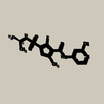 C[C@@H](NS(=O)(=O)c1cn(C)c(C(=O)Nc2ccnc(C#N)c2)c1F)C(F)(F)F